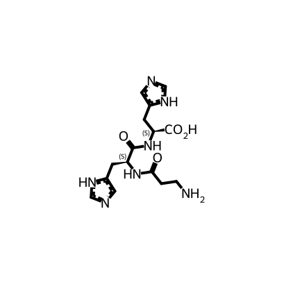 NCCC(=O)N[C@@H](Cc1cnc[nH]1)C(=O)N[C@@H](Cc1cnc[nH]1)C(=O)O